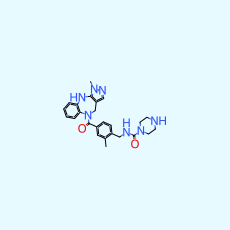 Cc1cc(C(=O)N2Cc3cnn(C)c3Nc3ccccc32)ccc1CNC(=O)N1CCNCC1